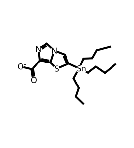 CCC[CH2][Sn]([CH2]CCC)([CH2]CCC)[c]1cn2cnc(C(=O)[O-])c2s1